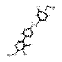 COc1ccc(-c2ccc(OCc3ccc(CO)c(F)c3)cc2)c(F)c1F